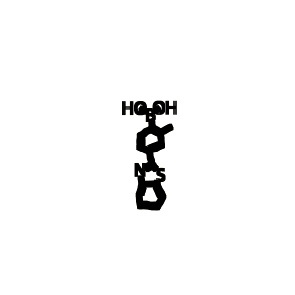 Cc1cc(-c2nc3ccccc3s2)ccc1B(O)O